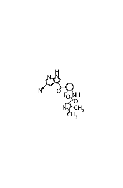 Cc1c(S(=O)(=O)Nc2cccc(C(=O)c3c[nH]c4ncc(C#N)cc34)c2F)cnn1C